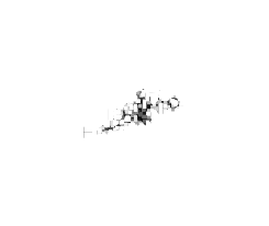 CCCSc1nc(NC2CC2c2ccccc2)c2nnn([C@H]3C[C@@H](COCCO)[C@H](O)[C@@H]3O)c2n1